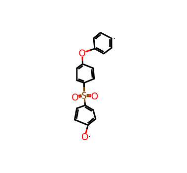 [O]c1ccc(S(=O)(=O)c2ccc(Oc3cc[c]cc3)cc2)cc1